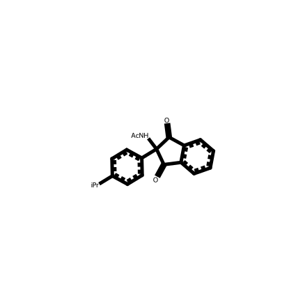 CC(=O)NC1(c2[c]cc(C(C)C)cc2)C(=O)c2ccccc2C1=O